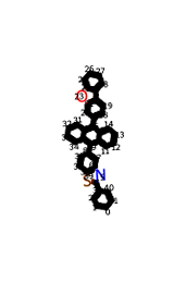 c1ccc(-c2nc3cc(-c4c5ccccc5c(-c5ccc6c(c5)oc5ccccc56)c5ccccc45)ccc3s2)cc1